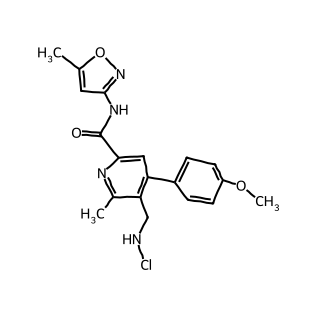 COc1ccc(-c2cc(C(=O)Nc3cc(C)on3)nc(C)c2CNCl)cc1